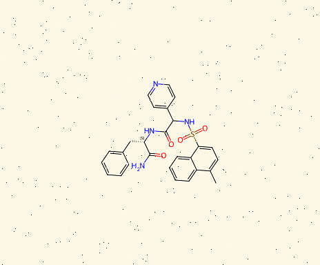 Cc1ccc(S(=O)(=O)NC(C(=O)N[C@@H](Cc2ccccc2)C(N)=O)c2ccncc2)c2ccccc12